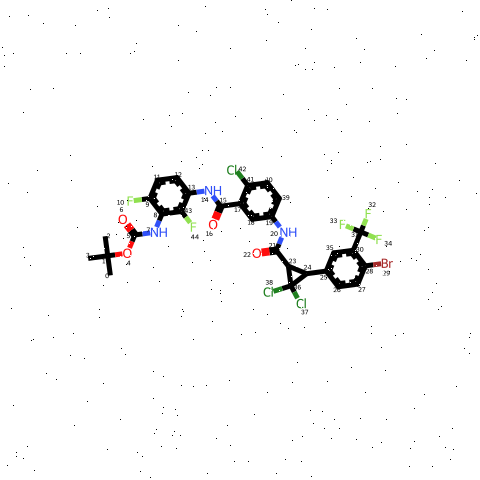 CC(C)(C)OC(=O)Nc1c(F)ccc(NC(=O)c2cc(NC(=O)C3C(c4ccc(Br)c(C(F)(F)F)c4)C3(Cl)Cl)ccc2Cl)c1F